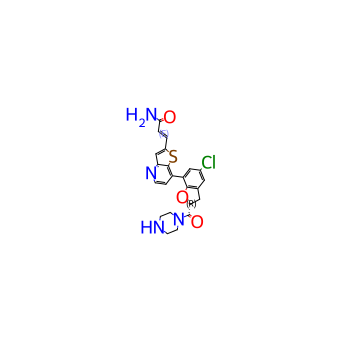 NC(=O)/C=C/c1cc2nccc(-c3cc(Cl)cc4c3O[C@@H](C(=O)N3CCNCC3)C4)c2s1